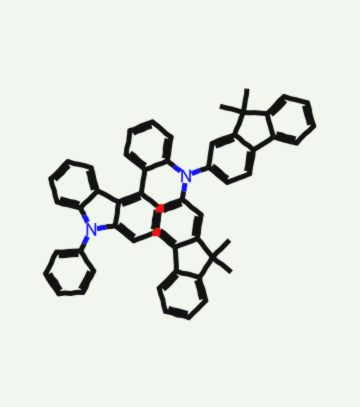 CC1(C)c2ccccc2-c2ccc(N(c3ccc4c(c3)C(C)(C)c3ccccc3-4)c3ccccc3-c3cccc4c3c3ccccc3n4-c3ccccc3)cc21